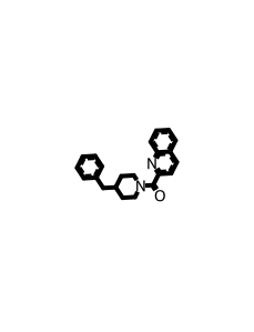 O=C(c1ccc2ccccc2n1)N1CCC(Cc2ccccc2)CC1